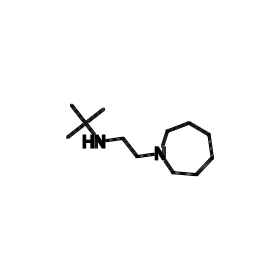 CC(C)(C)NCCN1CCCCCC1